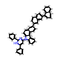 C1=C(c2ccccc2)NC(c2ccccc2)N=C1n1c2ccccc2c2c3ccc(-c4ccc5ccc(-c6cccc7ccccc67)cc5c4)cc3ccc21